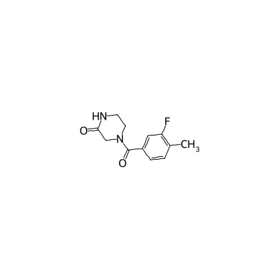 Cc1ccc(C(=O)N2CCNC(=O)C2)cc1F